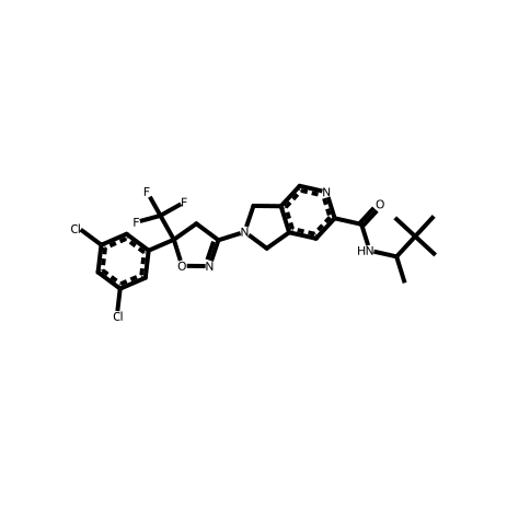 CC(NC(=O)c1cc2c(cn1)CN(C1=NOC(c3cc(Cl)cc(Cl)c3)(C(F)(F)F)C1)C2)C(C)(C)C